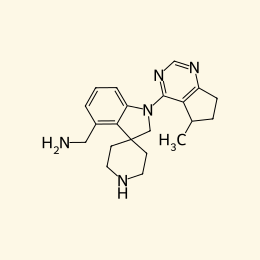 CC1CCc2ncnc(N3CC4(CCNCC4)c4c(CN)cccc43)c21